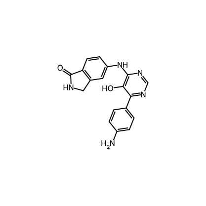 Nc1ccc(-c2ncnc(Nc3ccc4c(c3)CNC4=O)c2O)cc1